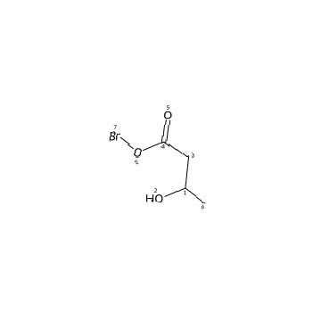 CC(O)CC(=O)OBr